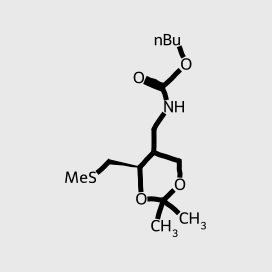 CCCCOC(=O)NCC1COC(C)(C)O[C@H]1CSC